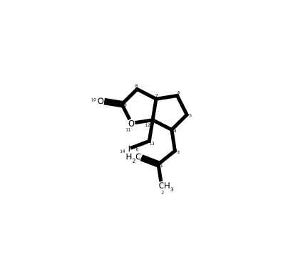 C=C(C)CC1CCC2CC(=O)OC12CI